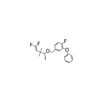 CC(C)(C=C(F)F)C(I)OCc1ccc(F)c(Oc2ccccc2)c1